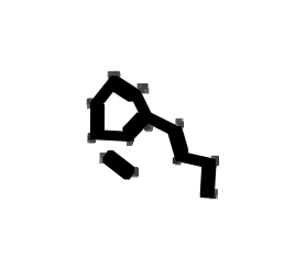 C=C.C=CC=Cc1ccccc1